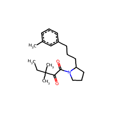 CCC(C)(C)C(=O)C(=O)N1CCCC1CCCc1cccc(C)c1